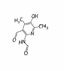 Cc1nc(NC=O)c(C=O)c(C)c1O